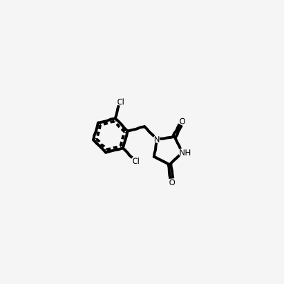 O=C1CN(Cc2c(Cl)cccc2Cl)C(=O)N1